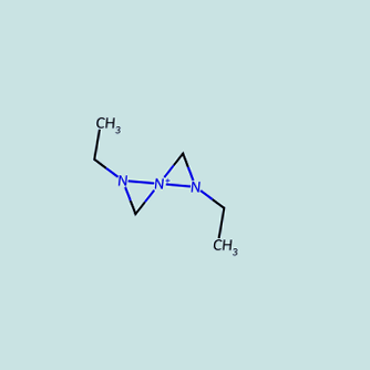 CCN1C[N+]12CN2CC